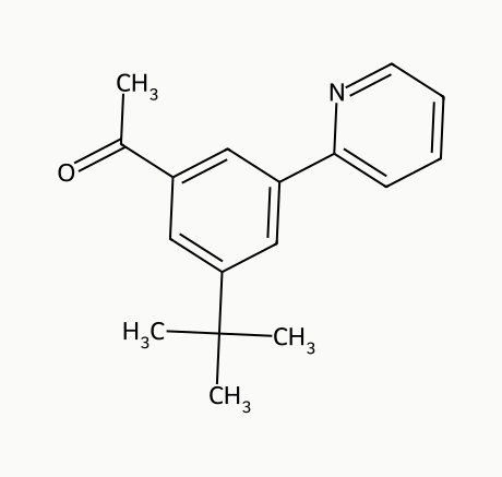 CC(=O)c1cc(-c2ccccn2)cc(C(C)(C)C)c1